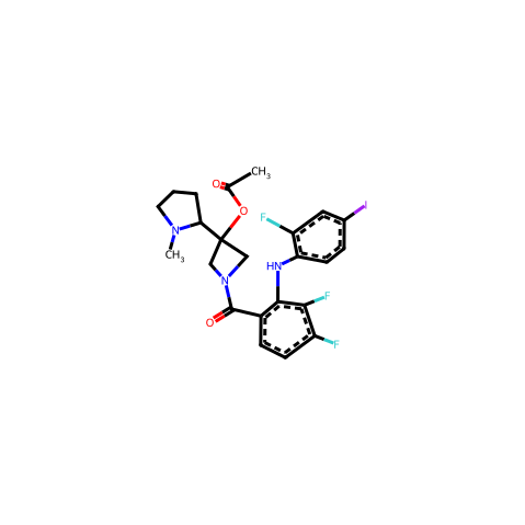 CC(=O)OC1(C2CCCN2C)CN(C(=O)c2ccc(F)c(F)c2Nc2ccc(I)cc2F)C1